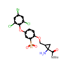 CNC(=O)C1(N)CC1COc1ccc(Oc2c(Cl)cc(Br)cc2Cl)cc1[SH](=O)=O